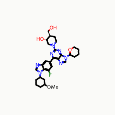 COC1CCCC(n2cnc3cc(-c4nc(N5CC[C@H](CO)[C@@H](O)C5)nc5c4ncn5C4CCCCO4)cc(F)c32)C1